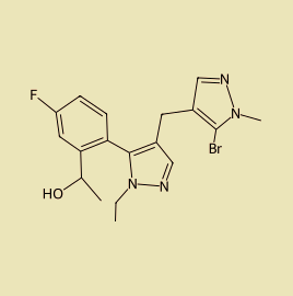 CCn1ncc(Cc2cnn(C)c2Br)c1-c1ccc(F)cc1C(C)O